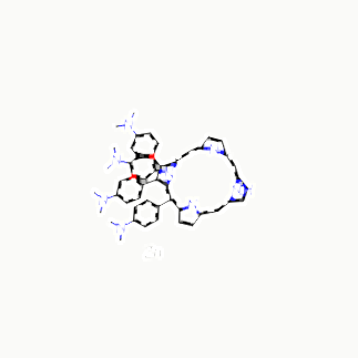 CN(C)c1ccc(-c2c(-c3ccc(N(C)C)cc3)c3c(-c4ccc(N(C)C)cc4)c4nc(cc5ccc(cc6nc(cc2n3-c2ccc(N(C)C)cc2)C=C6)[nH]5)C=C4)cc1.[Zn]